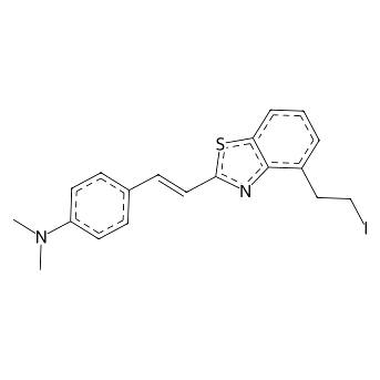 CN(C)c1ccc(C=Cc2nc3c(CCI)cccc3s2)cc1